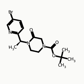 C[C@@H](c1ccc(Br)cn1)N1CCN(C(=O)OC(C)(C)C)CC1=O